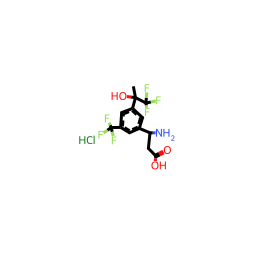 CC(O)(c1cc(C(N)CC(=O)O)cc(C(F)(F)F)c1)C(F)(F)F.Cl